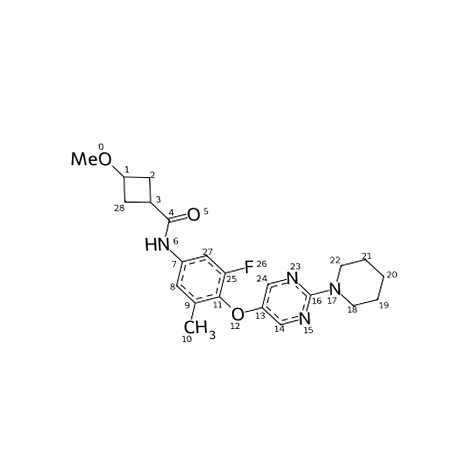 COC1CC(C(=O)Nc2cc(C)c(Oc3cnc(N4CCCCC4)nc3)c(F)c2)C1